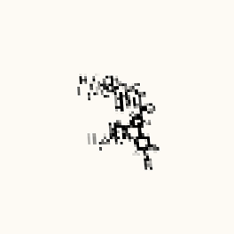 CC(C)(C)OC(=O)N[C@@H]1CCCN(C(=O)c2cc(-c3ccc(C#N)c(F)c3)c(-c3cnc(N)nc3)s2)C1